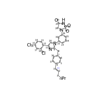 CC(C)C/C=C/c1ccc(Cc2nc(-c3ccc(Cl)cc3Cl)cn2-c2cccc(N3CC(=O)NS3(=O)=O)c2)cc1